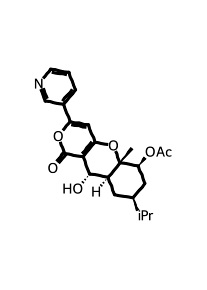 CC(=O)O[C@H]1C[C@@H](C(C)C)C[C@H]2[C@H](O)c3c(cc(-c4cccnc4)oc3=O)O[C@]12C